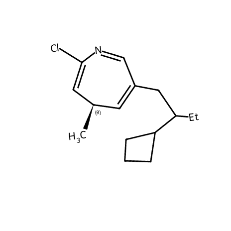 CCC(CC1=C[C@@H](C)C=C(Cl)N=C1)C1CCC1